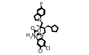 C[C@](CN1CCc2cc(F)ccc21)(OC(N)=O)[C@@H](CC1CCCC1)Cn1cnc2cc(Cl)c(Cl)cc21